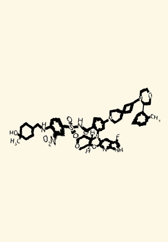 Cc1ccccc1[C@@H]1COCCN1C1CC2(CCN(c3ccc(C(=O)NS(=O)(=O)c4ccc(NCC5CCC(C)(O)CC5)c([N+](=O)[O-])c4)c(N4c5cc6c(F)c[nH]c6nc5O[C@H]5COCC[C@@H]54)c3)CC2)C1